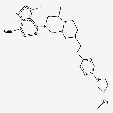 CNC1CCN(c2ccc(CCN3CCN4C(C)CN(c5ccc(C#N)n6ncc(F)c56)CC4C3)cn2)C1